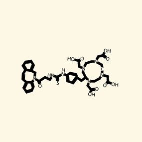 O=C(O)CN1CCN(CC(=O)O)CCN(CC(=O)O)C(Cc2ccc(NC(=S)NCCC(=O)N3Cc4ccccc4/C=C\c4ccccc43)cc2)CN(CC(=O)O)CC1